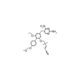 CCOc1cc(Cc2cnc(N)nc2N)cc(OCC(C)(C)C=CC#N)c1-c1ccc(OCOC)cc1